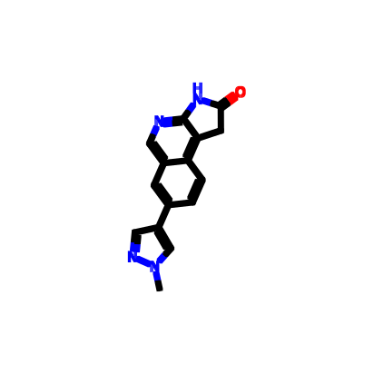 Cn1cc(-c2ccc3c4c(ncc3c2)NC(=O)C4)cn1